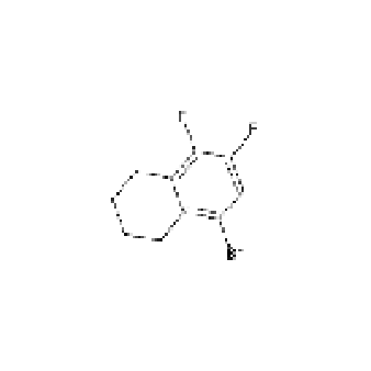 Fc1cc(Br)c2c(c1F)CCCC2